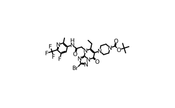 CCc1c(N2CCN(C(=O)OC(C)(C)C)CC2)c(=O)n2nc(Br)nc2n1CC(=O)Nc1cc(F)c(C(F)(F)F)nc1C